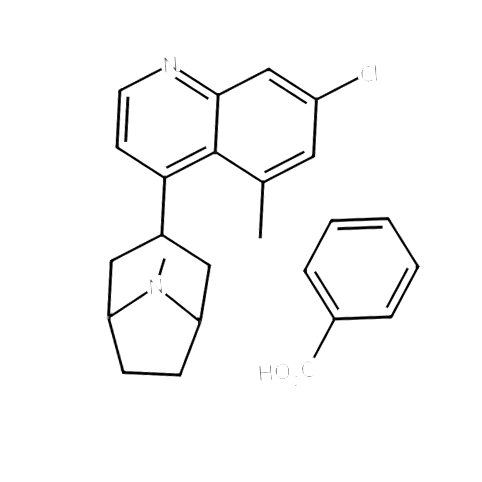 Cc1cc(Cl)cc2nccc(C3CC4CCC(C3)N4C)c12.O=C(O)c1ccccc1